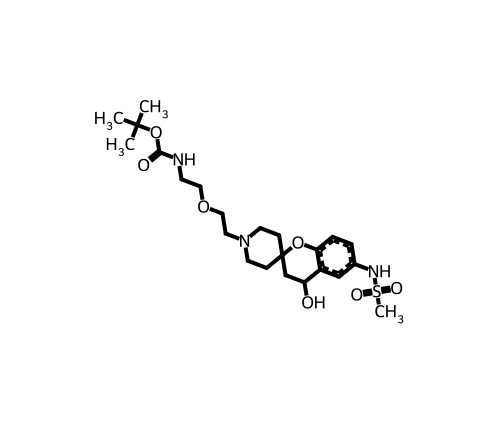 CC(C)(C)OC(=O)NCCOCCN1CCC2(CC1)CC(O)c1cc(NS(C)(=O)=O)ccc1O2